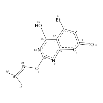 CCc1cc(=O)oc2nc(ON=C(C)C)nc(O)c12